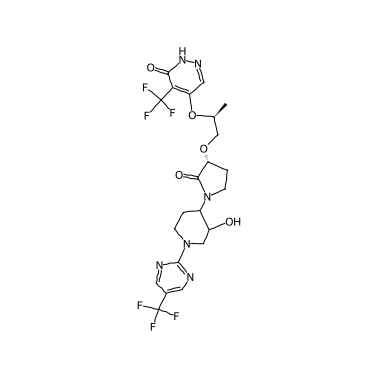 C[C@@H](CO[C@@H]1CCN(C2CCN(c3ncc(C(F)(F)F)cn3)CC2O)C1=O)Oc1cn[nH]c(=O)c1C(F)(F)F